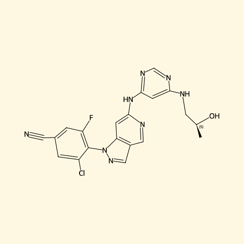 C[C@H](O)CNc1cc(Nc2cc3c(cn2)cnn3-c2c(F)cc(C#N)cc2Cl)ncn1